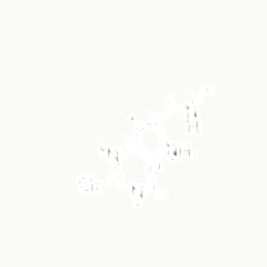 CNCc1cc2nc(Cl)ncc2[nH]1